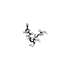 C/C=C(\C=C/CNC(=O)c1nc(C#N)c[nH]1)C(C)(C)NCCNC(C)=O